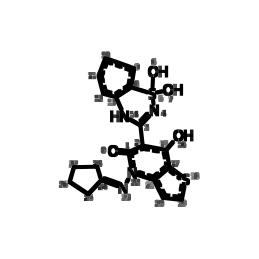 O=c1c(C2=NS(O)(O)c3ccccc3N2)c(O)c2sccc2n1N=C1CCCC1